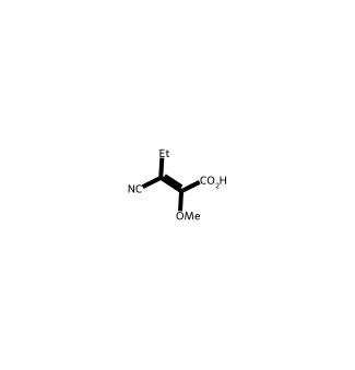 CC/C(C#N)=C(/OC)C(=O)O